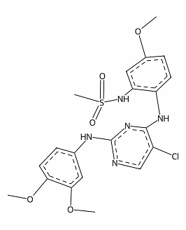 COc1ccc(Nc2nc(Nc3ccc(OC)c(OC)c3)ncc2Cl)c(NS(C)(=O)=O)c1